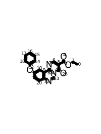 CCOC(=O)c1cnc2c3cc(Oc4ccccc4)ccc3ncn2c1=O